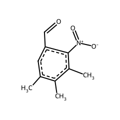 Cc1cc(C=O)c([N+](=O)[O-])c(C)c1C